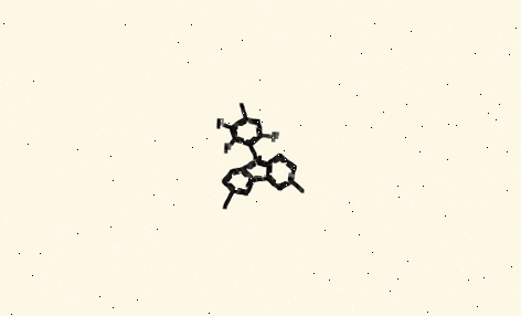 Cc1ccc2c(c1)c1cc(C)ccc1n2-c1c(F)cc(C)c(F)c1F